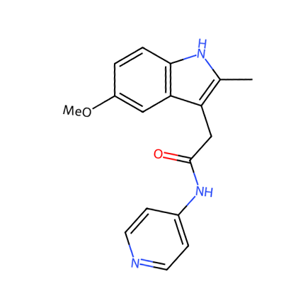 COc1ccc2[nH]c(C)c(CC(=O)Nc3ccncc3)c2c1